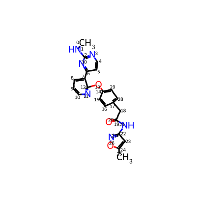 CNc1nccc(-c2cccnc2Oc2ccc(CC(=O)Nc3cc(C)on3)cc2)n1